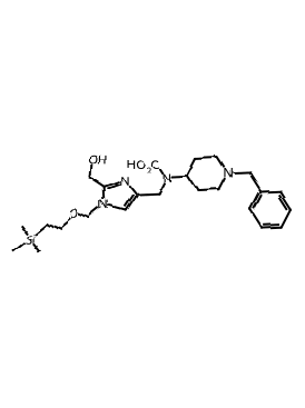 C[Si](C)(C)CCOCn1cc(CN(C(=O)O)C2CCN(Cc3ccccc3)CC2)nc1CO